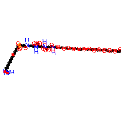 CC(=O)CCOCCOCCOCCOCCOCCOCCOCCOCCOCCOCCOCCOCCNC(=O)CCC(NC(=O)CCC(NC(=O)CCCNC(=O)CCCS(=O)(=O)CC(=O)CCCCCCCCCCCCCCCc1nnn[nH]1)C(=O)O)C(=O)O